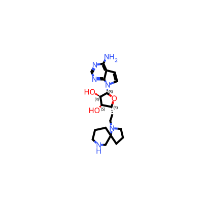 Nc1ncnc2c1ccn2[C@@H]1O[C@H](CCN2CCCC23CCCNC3)[C@@H](O)[C@H]1O